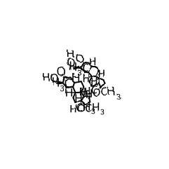 C[C@]12C/C(=C/O)C(=O)C[C@@H]1CC[C@@H]1[C@@H]2CC[C@@]2(C)[C@H]1CC[C@]2(C)O.C[C@]12C/C(=C/O)C(=O)C[C@@H]1CC[C@@H]1[C@@H]2CC[C@@]2(C)[C@H]1CC[C@]2(C)O